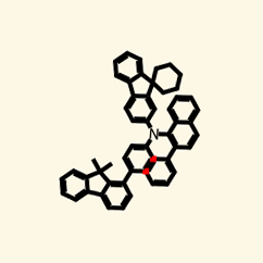 CC1(C)c2ccccc2-c2cccc(-c3ccc(N(c4ccc5c(c4)C4(CCCCC4)c4ccccc4-5)c4c(-c5ccccc5)ccc5ccccc45)cc3)c21